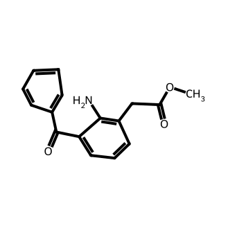 COC(=O)Cc1cccc(C(=O)c2ccccc2)c1N